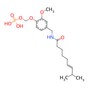 COc1cc(CNC(=O)CCCCC=CC(C)C)ccc1OCOP(=O)(O)O